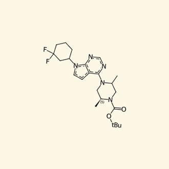 CC1CN(C(=O)OC(C)(C)C)[C@@H](C)CN1c1ncnc2c1ccn2C1CCCC(F)(F)C1